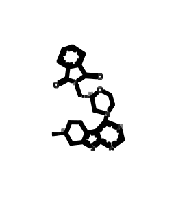 C[C@H]1CCc2c(sc3ncnc(N4CCO[C@@H](CN5C(=O)c6ccccc6C5=O)C4)c23)C1